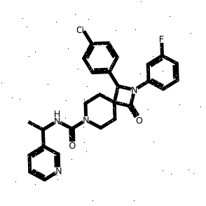 CC(NC(=O)N1CCC2(CC1)C(=O)N(c1cccc(F)c1)C2c1ccc(Cl)cc1)c1cccnc1